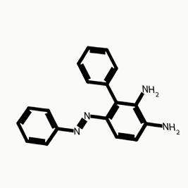 Nc1ccc(N=Nc2ccccc2)c(-c2ccccc2)c1N